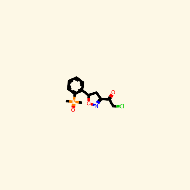 CP(C)(=O)c1ccccc1C1CC(C(=O)CCl)=NO1